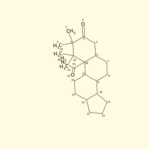 CC1(C)C(=O)CC2CCC3C4CCCC4CCC3C2(C(N)=O)C1(C)C